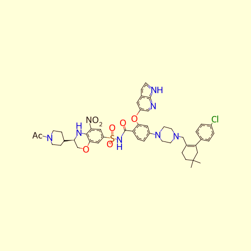 CC(=O)N1CCC([C@@H]2COc3cc(S(=O)(=O)NC(=O)c4ccc(N5CCN(CC6=C(c7ccc(Cl)cc7)CC(C)(C)CC6)CC5)cc4Oc4cnc5[nH]ccc5c4)cc([N+](=O)[O-])c3N2)CC1